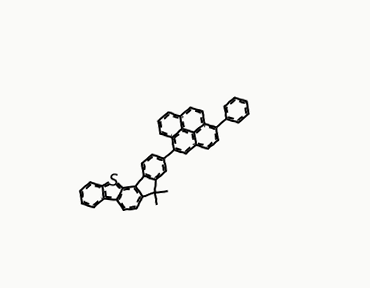 CC1(C)c2cc(-c3cc4ccc(-c5ccccc5)c5ccc6cccc3c6c45)ccc2-c2c1ccc1c2sc2ccccc21